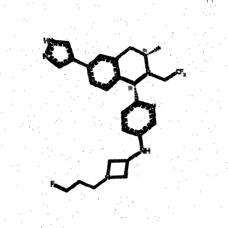 C[C@H]1Cc2cc(-c3cn[nH]c3)ccc2[C@@H](c2ccc(NC3CN(CCCF)C3)cn2)N1CC(F)(F)F